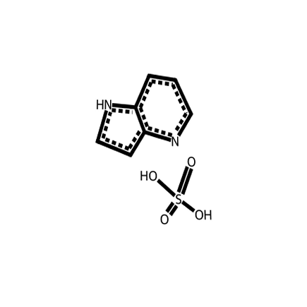 O=S(=O)(O)O.c1cnc2cc[nH]c2c1